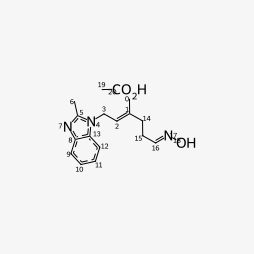 C/C(=C\Cn1c(C)nc2ccccc21)CC/C=N/O.CC(=O)O